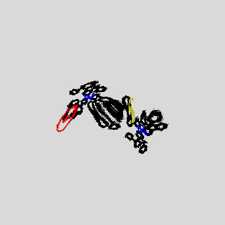 CC1(c2ccccc2)c2cc(N(c3cccc(-c4cccc5c4sc4cccc(-c6ccc7c(c6)-c6ccc(N(c8ccc(-c9cccc%10c9-c9ccccc9CO%10)cc8)c8ccc9c(c8)C(C)(c8ccccc8)C8C=CC=C(c%10ccccc%10)C98)cc6C7(c6ccccc6)c6ccccc6)c45)c3)c3ccc4c(c3)C(c3ccccc3)(c3ccccc3)c3ccccc3-4)ccc2-c2c(-c3ccccc3)cccc21